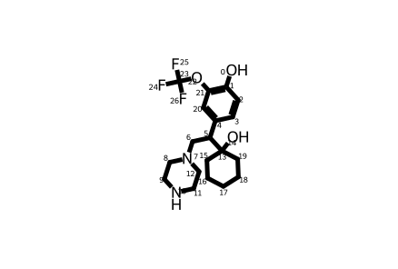 Oc1ccc(C(CN2CCNCC2)C2(O)CCCCC2)cc1OC(F)(F)F